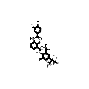 O=C(Nc1cccc(C(=O)Nc2c(I)cc(C(F)(C(F)(F)F)C(F)(F)F)cc2C(F)(F)F)c1F)c1ccc(F)c(F)c1